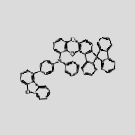 c1ccc(N(c2ccc(-c3cccc4oc5ccccc5c34)cc2)c2cccc3c2Oc2c(ccc4c2-c2ccccc2C42c4ccccc4-c4ccccc42)O3)cc1